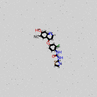 N#Cc1cc2c(Oc3ccc(NC(=O)Nc4nccs4)c(F)c3)ccnc2cc1O